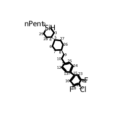 CCCCC[SiH]1CCC([C@H]2CC[C@H](CCc3ccc(-c4cc(F)c(Cl)c(F)c4)cc3)CC2)CC1